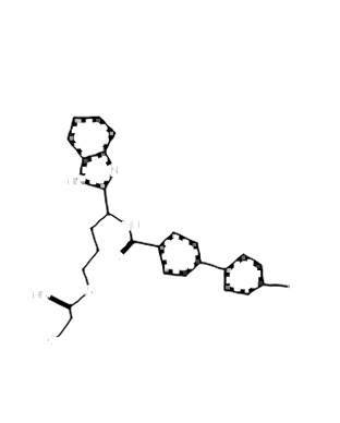 N=C(CCl)NCCCC(NC(=O)c1ccc(-c2ccc(F)cc2)cc1)c1nc2ccccc2[nH]1